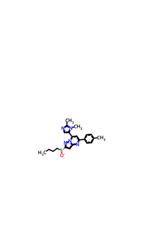 CCCC[S+]([O-])c1cc2nc(-c3ccc(C)cc3)cc(-c3cnc(C)n3C)n2n1